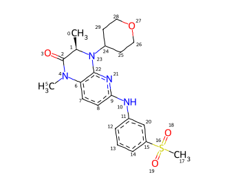 C[C@@H]1C(=O)N(C)c2ccc(Nc3cccc(S(C)(=O)=O)c3)nc2N1C1CCOCC1